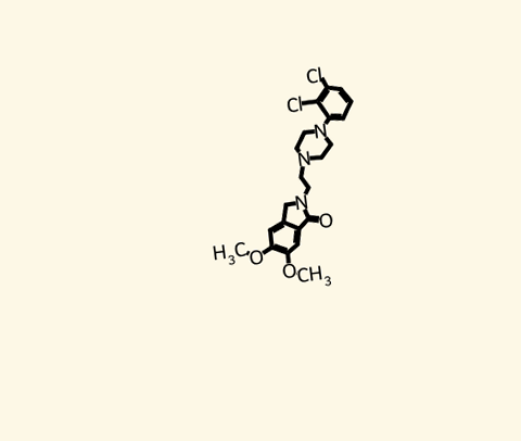 COc1cc2c(cc1OC)C(=O)N(CCN1CCN(c3cccc(Cl)c3Cl)CC1)C2